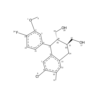 COc1cc(C2c3cc(Cl)c(C)cc3C[C@H](CO)[C@H]2CO)ccc1F